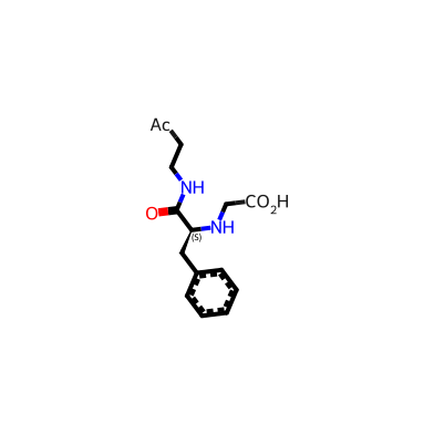 CC(=O)CCNC(=O)[C@H](Cc1ccccc1)NCC(=O)O